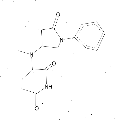 CN(C1CC(=O)N(c2ccccc2)C1)C1CCC(=O)NC1=O